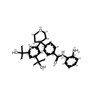 CC(C)(O)c1cc(C(C)(C)O)nc(C2(c3ccc(C(=O)Nc4ccccc4N)cc3)CCOCC2)c1